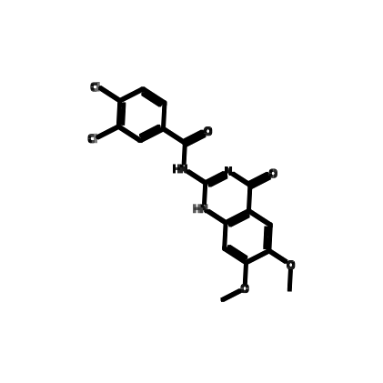 COc1cc2[nH]c(NC(=O)c3ccc(Cl)c(Cl)c3)nc(=O)c2cc1OC